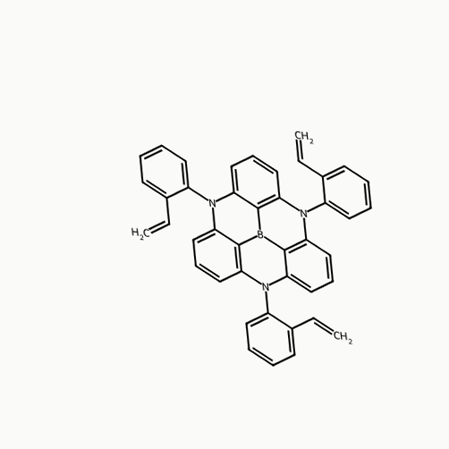 C=Cc1ccccc1N1c2cccc3c2B2c4c1cccc4N(c1ccccc1C=C)c1cccc(c12)N3c1ccccc1C=C